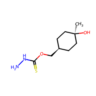 C[C@]1(O)CC[C@@H](COC(=S)NN)CC1